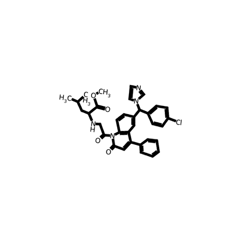 COC(=O)C(CC(C)C)NCC(=O)n1c(=O)cc(-c2ccccc2)c2cc(C(c3ccc(Cl)cc3)n3ccnc3)ccc21